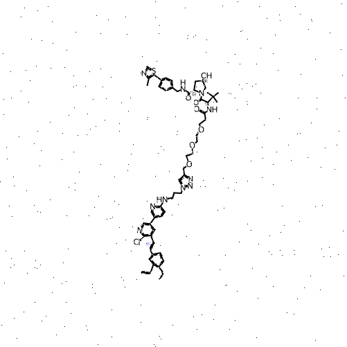 C=Cc1cc(/C=C/c2cc(-c3ccc(NCCCn4cc(COCCOCCOCCC(=O)N[C@H](C(=O)N5C[C@H](O)C[C@H]5C(=O)NCc5ccc(-c6scnc6C)cc5)C(C)(C)C)nn4)nc3)cnc2Cl)ccc1CC